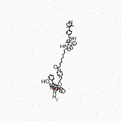 Cc1ncsc1-c1ccc(CNC(=O)[C@@H]2CCCN2C(=O)C(NC(=O)CCCCCCCCC(=O)N2CCN(CCOc3ccccc3N3C4CCC3CN(c3cc(-c5ccccc5O)nnc3N)C4)CC2)C(C)(C)C)cc1